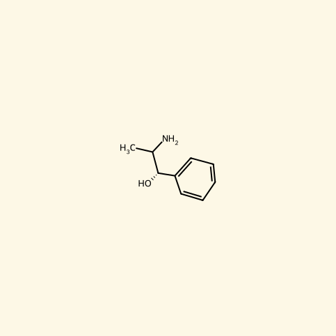 CC(N)[C@@H](O)c1ccccc1